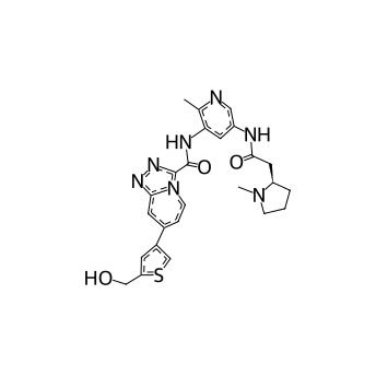 Cc1ncc(NC(=O)C[C@H]2CCCN2C)cc1NC(=O)c1nnc2cc(-c3csc(CO)c3)ccn12